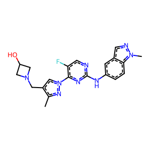 Cc1nn(-c2nc(Nc3ccc4c(cnn4C)c3)ncc2F)cc1CN1CC(O)C1